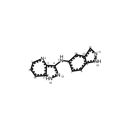 c1cnc2c(Nc3ccc4[nH]ncc4c3)n[nH]c2c1